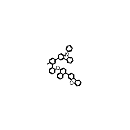 Cc1ccc(-c2ccc3c(c2)c2ccccc2n3-c2ccccc2)cc1-c1ccccc1Oc1ccc(-c2ccc3c(c2)oc2ccccc23)c2ccccc12